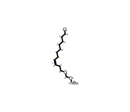 CCCCOCOCC/C=C\CCCCCCCCl